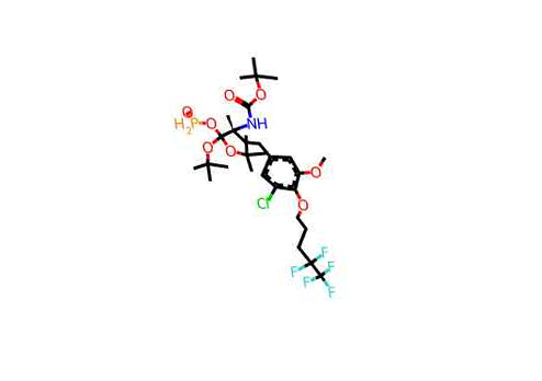 COc1cc(CC[C@@](C)(NC(=O)OC(C)(C)C)C(O[PH2]=O)(OC(C)(C)C)OC(C)(C)C)cc(Cl)c1OCCCC(F)(F)C(F)(F)F